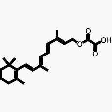 CC(C=CC1=C(C)CCCC1(C)C)=CC=CC(C)=CCOC(=O)C(=O)O